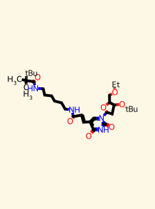 CCOCC1OC(n2cc(/C=C/C(=O)NCCCCCCNC(=O)C(C)(C)C(C)(C)C)c(=O)[nH]c2=O)CC1OC(C)(C)C